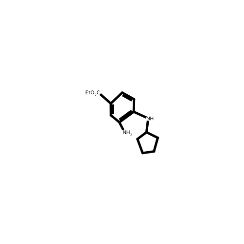 CCOC(=O)c1ccc(NC2CCCC2)c(N)c1